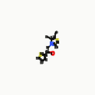 CC1=C(C)N(CC(=O)c2cccs2)CS1